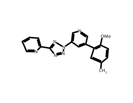 COc1ccc(C)cc1-c1cncc(-n2nnc(-c3ccccn3)n2)c1